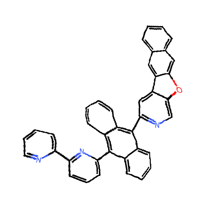 c1ccc(-c2cccc(-c3c4ccccc4c(-c4cc5c(cn4)oc4cc6ccccc6cc45)c4ccccc34)n2)nc1